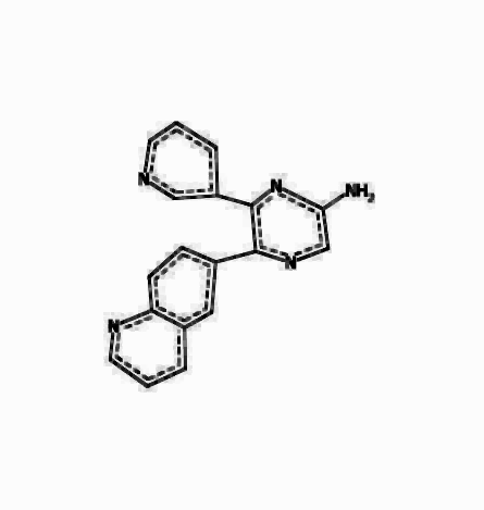 Nc1cnc(-c2ccc3ncccc3c2)c(-c2cccnc2)n1